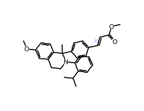 COC(=O)/C=C/c1ccc(C2(C)c3ccc(OC)cc3CCN2c2ccccc2C(C)C)cc1